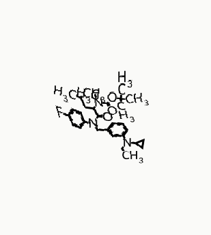 CCN(c1cccc(CN(C(=O)C(CC(C)C)N(C)C(=O)OC(C)(C)C)c2ccc(F)cc2)c1)C1CC1